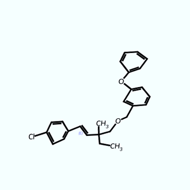 CCC(C)(/C=C/c1ccc(Cl)cc1)COCc1cccc(Oc2ccccc2)c1